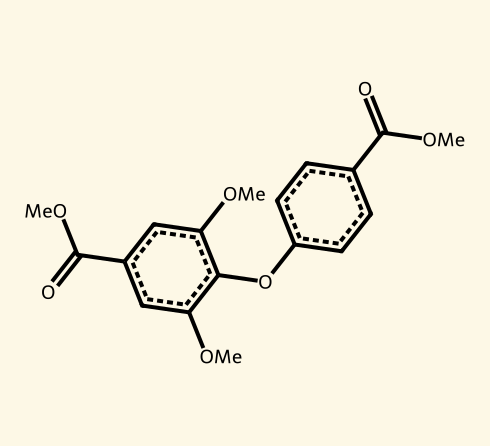 COC(=O)c1ccc(Oc2c(OC)cc(C(=O)OC)cc2OC)cc1